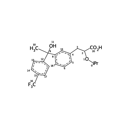 CC(C)OC(Cc1cccc(C(C)(O)c2ccc(C(F)(F)F)cc2)c1)C(=O)O